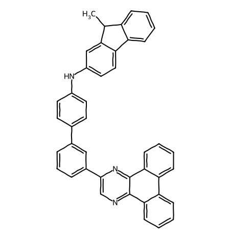 CC1c2ccccc2-c2ccc(Nc3ccc(-c4cccc(-c5cnc6c7ccccc7c7ccccc7c6n5)c4)cc3)cc21